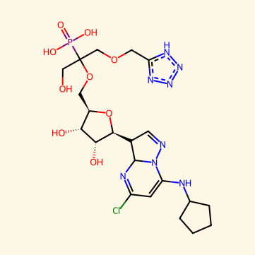 O=P(O)(O)C(CO)(COCc1nnn[nH]1)OC[C@H]1O[C@@H](C2C=NN3C(NC4CCCC4)=CC(Cl)=NC23)[C@H](O)[C@@H]1O